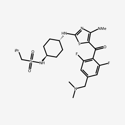 CNc1nc(N[C@H]2CC[C@H](NS(=O)(=O)CC(C)C)CC2)sc1C(=O)c1c(F)cc(CN(C)C)cc1F